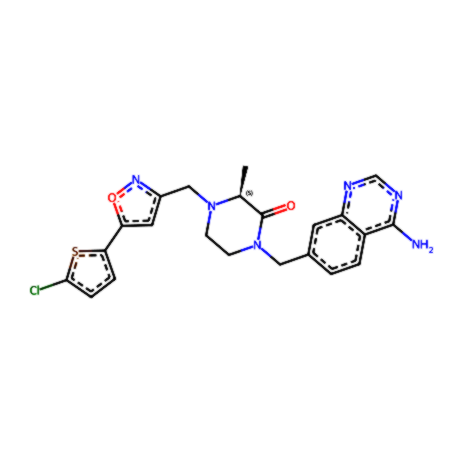 C[C@H]1C(=O)N(Cc2ccc3c(N)ncnc3c2)CCN1Cc1cc(-c2ccc(Cl)s2)on1